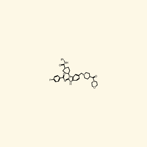 CC(C)NC(=O)C1CCC(n2/c(=N\C(=O)c3ccc(F)cc3)[nH]c3ccc(CN4CCC(C(=O)N5CCOCC5)CC4)cc32)CC1